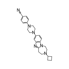 N#Cc1ccc(N2CCN(c3ccc4c(c3)nc3n4CCN(C4CCC4)CC3)CC2)cc1